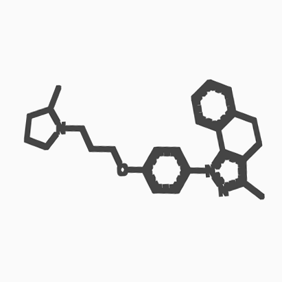 Cc1nn(-c2ccc(OCCCN3CCCC3C)cc2)c2c1CCc1ccccc1-2